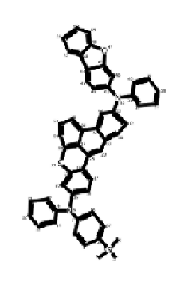 C[Si](C)(C)c1ccc(N(c2ccccc2)c2ccc3c(c2)Sc2cccc4c2c-3cc2ccc(N(c3ccccc3)c3ccc5c(c3)oc3ccccc35)cc24)cc1